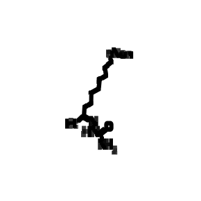 CCCCCCCCCCCCCCCCCC(CC)=NNC(N)=O